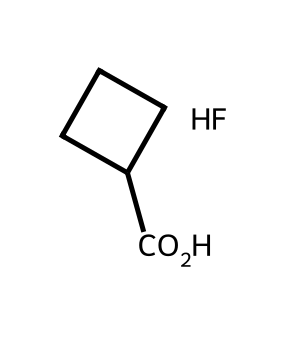 F.O=C(O)C1CCC1